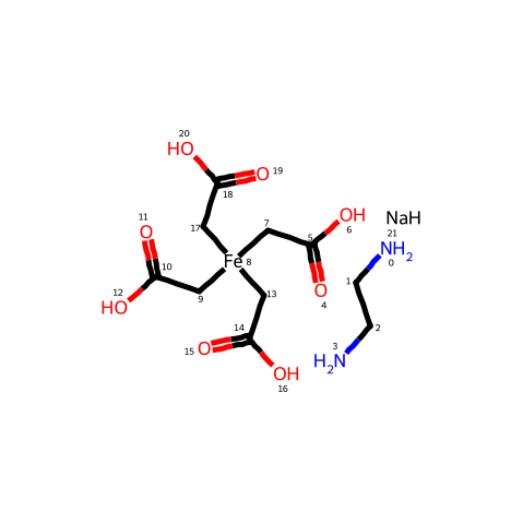 NCCN.O=C(O)[CH2][Fe]([CH2]C(=O)O)([CH2]C(=O)O)[CH2]C(=O)O.[NaH]